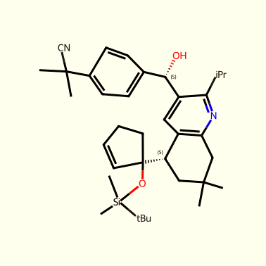 CC(C)c1nc2c(cc1[C@@H](O)c1ccc(C(C)(C)C#N)cc1)[C@@H](C1(O[Si](C)(C)C(C)(C)C)C=CCC1)CC(C)(C)C2